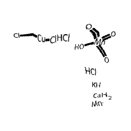 Cl.Cl.[CaH2].[Cl][Cu][Cl].[KH].[Mn].[O]=[Mn](=[O])(=[O])[OH]